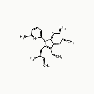 B/C(C=C)=C/C1=C(C=C)C(=C/C=C)/C(=N\C=C)N1c1cccc(B)n1